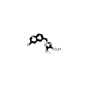 CCOC(=O)c1nn(Cc2ccc3ncc(Cl)cc3c2)nc1C(F)(F)F